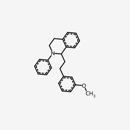 COc1cccc(CCC2c3ccccc3CCN2c2ccccc2)c1